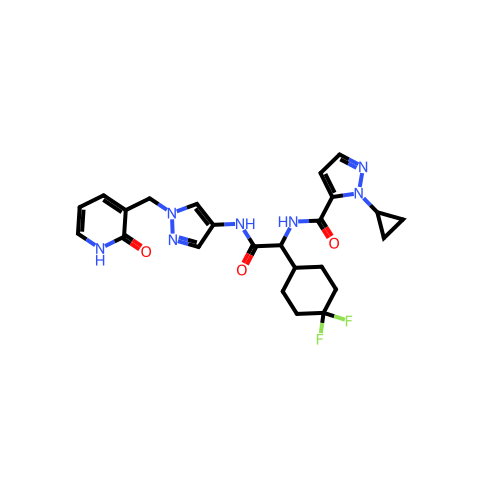 O=C(NC(C(=O)Nc1cnn(Cc2ccc[nH]c2=O)c1)C1CCC(F)(F)CC1)c1ccnn1C1CC1